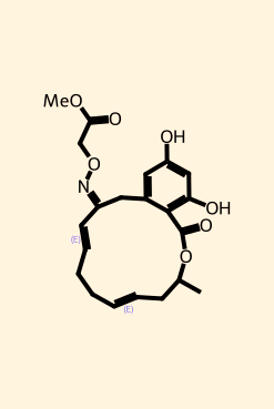 COC(=O)CON=C1/C=C/CC/C=C/CC(C)OC(=O)c2c(O)cc(O)cc2C1